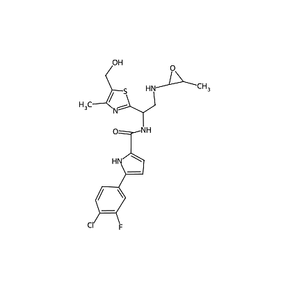 Cc1nc(C(CNC2OC2C)NC(=O)c2ccc(-c3ccc(Cl)c(F)c3)[nH]2)sc1CO